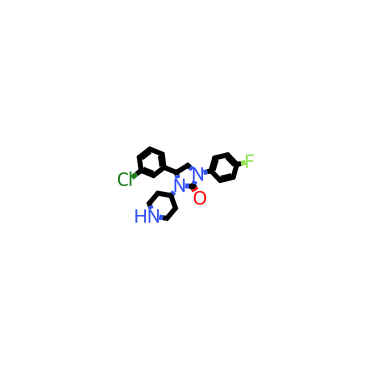 O=C1N(c2ccc(F)cc2)CC(c2cccc(Cl)c2)N1C1CCNCC1